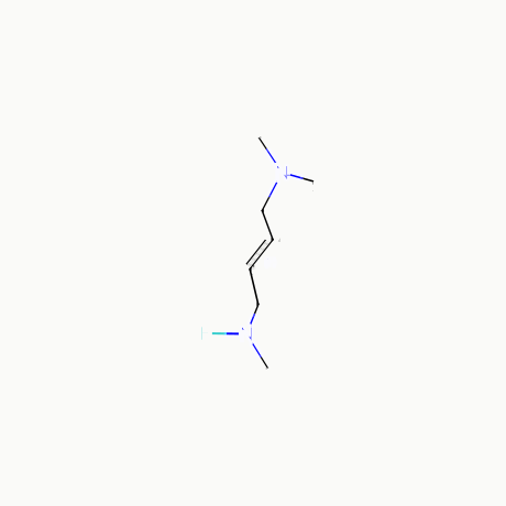 CN(C)C/C=C/CN(C)F